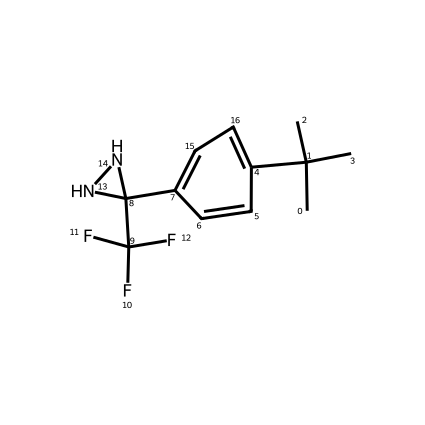 CC(C)(C)c1ccc(C2(C(F)(F)F)NN2)cc1